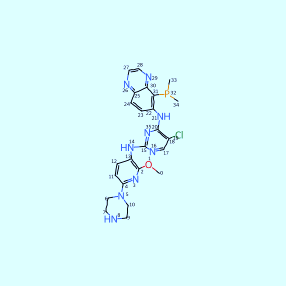 COc1nc(N2CCNCC2)ccc1Nc1ncc(Cl)c(Nc2ccc3nccnc3c2P(C)C)n1